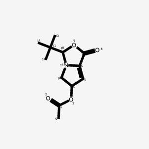 CC(=O)OC1C=C2C(=O)OC(C(C)(C)C)N2C1